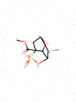 COC(=O)C12CC3OC1C(OS2(=O)=O)[C@H]3C